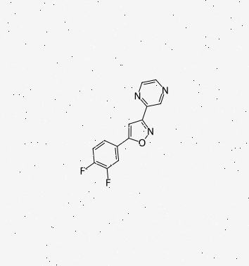 Fc1ccc(-c2cc(-c3cnccn3)no2)cc1F